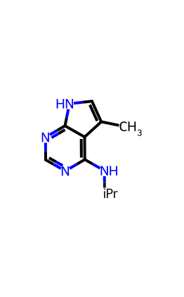 Cc1c[nH]c2ncnc(NC(C)C)c12